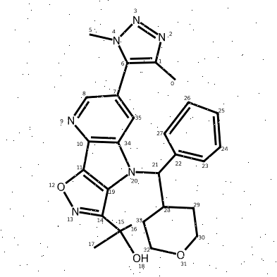 Cc1nnn(C)c1-c1cnc2c3onc(C(C)(C)O)c3n(C(c3ccccc3)C3CCOCC3)c2c1